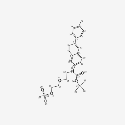 Cc1ccc(-c2ccc3nc(N(CCOCCOS(C)(=O)=O)C(=O)OC(C)(C)C)ccc3c2)cc1